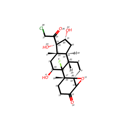 C[C@]12C[C@H](O)C3(F)[C@@H](CC[C@]45OC4C(=O)CC[C@]35C)[C@@H]1C[C@@H](O)[C@]2(O)C(=O)CCl